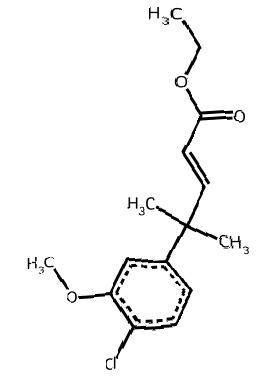 CCOC(=O)C=CC(C)(C)c1ccc(Cl)c(OC)c1